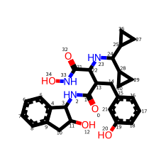 O=C(NC1c2ccccc2CC1O)C(Cc1cccc(O)c1)C(NC(C1CC1)C1CC1)C(=O)NO